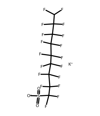 O=S(=O)([O-])C(F)(F)C(F)(F)C(F)(F)C(F)(F)C(F)(F)C(F)(F)C(F)(F)C(F)(F)C(F)F.[K+]